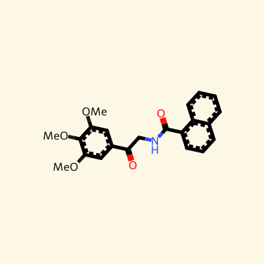 COc1cc(C(=O)CNC(=O)c2cccc3ccccc23)cc(OC)c1OC